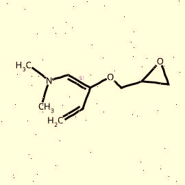 C=C/C(=C\N(C)C)OCC1CO1